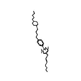 CCCCCCCc1cnc(-c2ccc(CCCCC3CCC(CCCCC)CC3)cc2)nc1